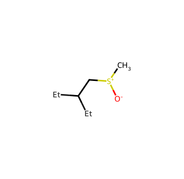 CCC(CC)C[S+](C)[O-]